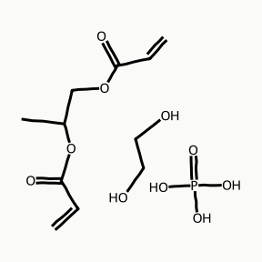 C=CC(=O)OCC(C)OC(=O)C=C.O=P(O)(O)O.OCCO